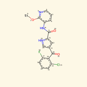 CCOc1ncccc1NC(=O)c1cc(C(=O)c2c(F)cccc2Cl)c[nH]1